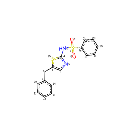 O=S(=O)(Nc1ncc(Cc2ccccc2)s1)c1ccccc1